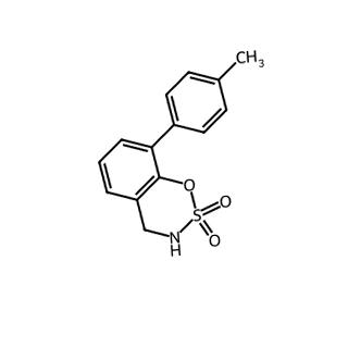 Cc1ccc(-c2cccc3c2OS(=O)(=O)NC3)cc1